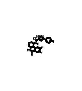 CN(C(=O)c1cc(-c2ccc(F)cc2)n[nH]1)C1COCc2[nH]c(=O)c3cc(F)c(F)cc3c21